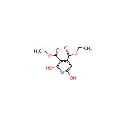 CCOC(=O)c1cc(O)nc(O)c1C(=O)OCC